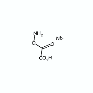 NOC(=O)C(=O)O.[Nb]